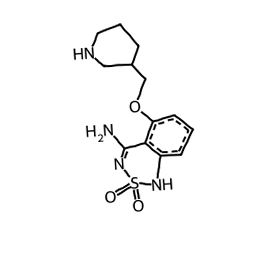 NC1=NS(=O)(=O)Nc2cccc(OCC3CCCNC3)c21